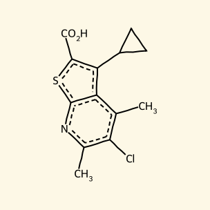 Cc1nc2sc(C(=O)O)c(C3CC3)c2c(C)c1Cl